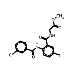 COC(=O)CNC(=O)c1cc(I)ccc1NC(=O)c1cccc(Cl)c1